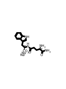 NC(=O)[C@H](N)CCC(=O)N[C@H](Cc1c[nH]c2ccccc12)C(=O)O.[Na].[Na]